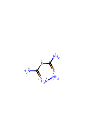 NC(=S)SC(N)=S.NN